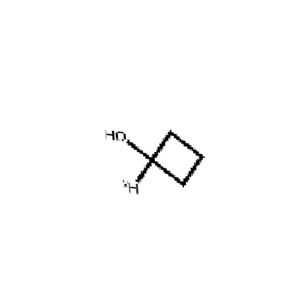 [2H]C1(O)CCC1